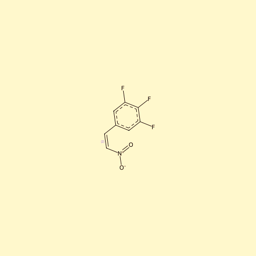 O=[N+]([O-])/C=C\c1cc(F)c(F)c(F)c1